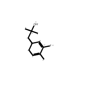 CC1=CCC(CC(C)(C)O)C=C1F